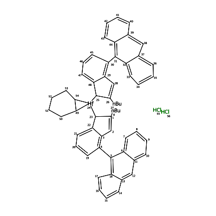 CCCCC1=Cc2c(-c3c4ccccc4cc4ccccc34)cccc2[CH]1[Hf]1([CH]2C(CCCC)=Cc3c(-c4c5ccccc5cc5ccccc45)cccc32)[CH]2CCCC[CH]21.Cl.Cl